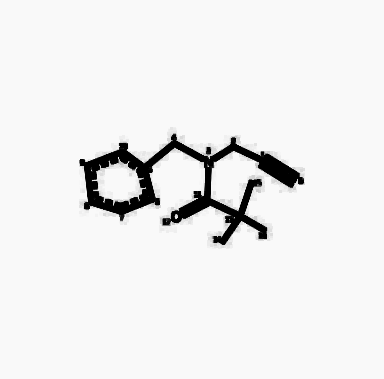 C#CCN(Cc1ccccc1)C(=O)C(C)(C)C